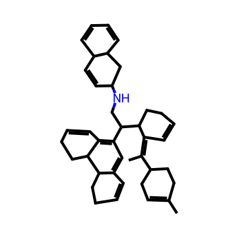 CC1=CCC(/C(C)=C2\C=CCCC2C(CNC2C=CC3C=CC=CC3C2)C2=C3C=CCCC3C3CCC=CC3=C2)CC1